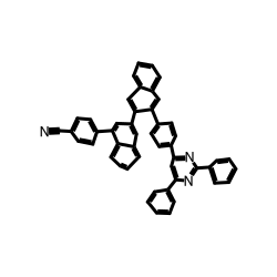 N#Cc1ccc(-c2cc(-c3cc4ccccc4cc3-c3ccc(-c4cc(-c5ccccc5)nc(-c5ccccc5)n4)cc3)cc3ccccc23)cc1